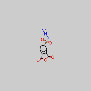 [N-]=[N+]=NS(=O)(=O)C1CC2CC1C1C(=O)OC(=O)C21